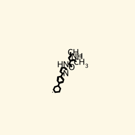 Cc1cc(C(=O)Nc2ccc(-c3ccc(C4CC[CH]CC4)cc3)nc2)c(C)[nH]1